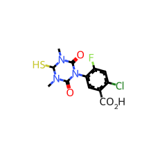 CN1C(=O)N(c2cc(C(=O)O)c(Cl)cc2F)C(=O)N(C)C1S